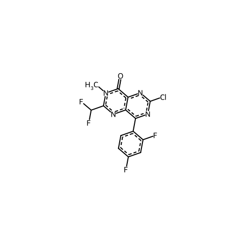 Cn1c(C(F)F)nc2c(-c3ccc(F)cc3F)nc(Cl)nc2c1=O